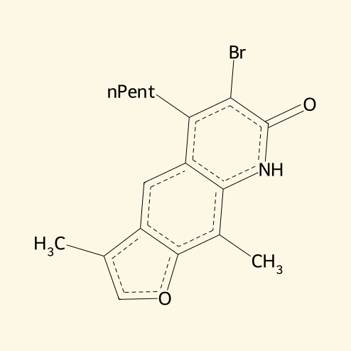 CCCCCc1c(Br)c(=O)[nH]c2c(C)c3occ(C)c3cc12